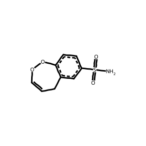 NS(=O)(=O)c1ccc2c(c1)CC=COO2